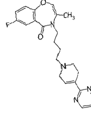 CC1=COc2ccc(F)cc2C(=O)N1CCCCN1CC=C(c2ncccn2)CC1